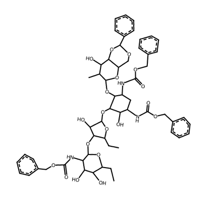 CCC1OC(OC2C(CC)OC(OC3C(O)C(NC(=O)OCc4ccccc4)CC(NC(=O)OCc4ccccc4)C3OC3OC4COC(c5ccccc5)OC4C(O)C3C)C2O)C(NC(=O)OCc2ccccc2)C(O)C1O